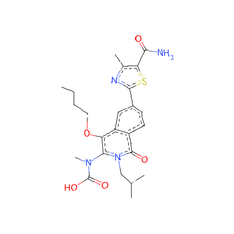 CCCCOc1c(N(C)C(=O)O)n(CC(C)C)c(=O)c2ccc(-c3nc(C)c(C(N)=O)s3)cc12